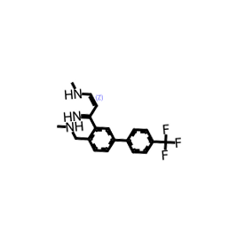 CN/C=C\C(=N)c1cc(-c2ccc(C(F)(F)F)cc2)ccc1CNC